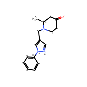 C[C@H]1CC(=O)CCN1Cc1cnn(-c2ccccc2)c1